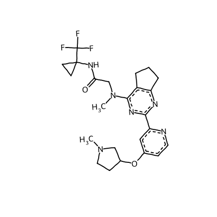 CN1CCC(Oc2ccnc(-c3nc4c(c(N(C)CC(=O)NC5(C(F)(F)F)CC5)n3)CCC4)c2)C1